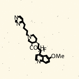 COc1ccc2nccc([C@@H](F)CC[C@@H]3CCN(CCCCc4ccncn4)C[C@@H]3C(=O)O)c2c1